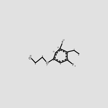 CCc1c(F)cc(OCCCl)cc1F